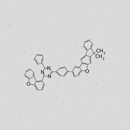 CC1(C)c2ccccc2-c2cc3c(cc21)oc1ccc(-c2ccc(-c4nc(-c5ccccc5)nc(-c5cccc6oc7ccccc7c56)n4)cc2)cc13